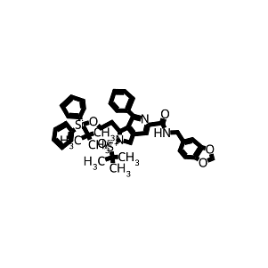 CC(C)(C)[S@@+]([O-])N1Cc2cc(C(=O)NCc3ccc4c(c3)OCO4)nc(-c3ccccc3)c2C1CCO[Si](c1ccccc1)(c1ccccc1)C(C)(C)C